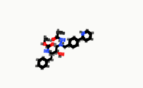 COC(=O)NN(Cc1ccc(-c2ccccn2)cc1)C[C@H](O)[C@H](Cc1ccccc1)NC(=O)OC(C)(C)C